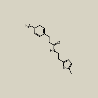 Cc1ccc(CCNC(=O)CCC2=CCC(C(F)(F)F)C=C2)s1